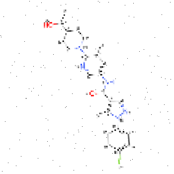 Cc1cc(NC(=O)c2cnn(-c3ccc(F)cc3)c2C)cnc1N1CCC(C(C)O)CC1